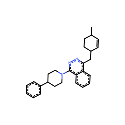 CC1C=CC(Cc2nnc(N3CCC(c4ccccc4)CC3)c3ccccc23)CC1